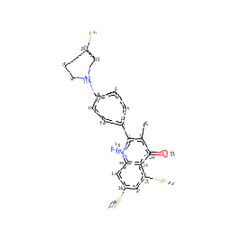 Cc1c(-c2ccc(N3CCC(F)C3)cc2)[nH]c2cc(F)cc(F)c2c1=O